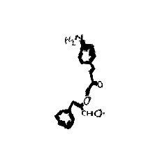 Nc1ccc(C=CC(=O)COC([C]=O)=Cc2ccccc2)cc1